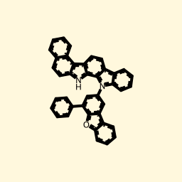 c1ccc(-c2cc(-n3c4ccccc4c4ccc5c([nH]c6ccc7ccccc7c65)c43)cc3c2oc2ccccc23)cc1